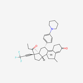 CCC(=O)[C@@]1(C#CC(F)(F)F)CC[C@H]2[C@@H]3CC(C)C4=CC(=O)CCC4=C3[C@@H](c3ccc(N4CCCCC4)cc3)C[C@@]21C